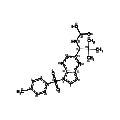 Cc1ccc(S(=O)(=O)n2ccc3nc(C(NC(=O)O)C(C)(C)C)cnc32)cc1